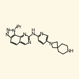 CC(C)n1nnc2ccc3cnc(Nc4ccc(N5CC6(CCNCC6)C5)cn4)nc3c21